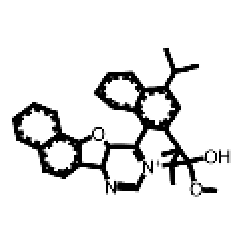 COC1(O)C2(C)c3cc(C(C)C)c4ccccc4c3C3=[N+](C=NC4c5ccc6ccccc6c5OC34)C12C